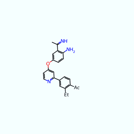 CCc1cc(-c2cc(Oc3ccc(N)c(C(C)=N)c3)ccn2)ccc1C(C)=O